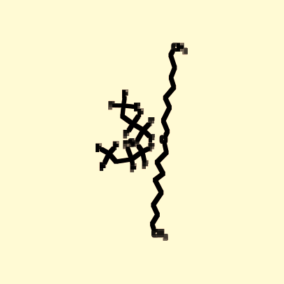 CCCCCCCCCOCCCCCCCCC.FC(F)(F)CC(F)(F)[C](F)(F)[Sn][C](F)(F)C(F)(F)CC(F)(F)F